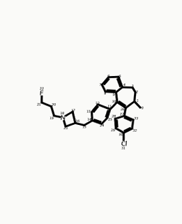 CC1CCc2ccccc2C(c2ccc(CC3CN(CCCF)C3)cc2)=C1c1ccc(Cl)cc1